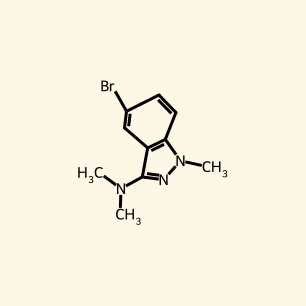 CN(C)c1nn(C)c2ccc(Br)cc12